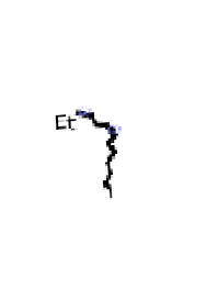 CC/C=C\C/C=C\CCCCCI